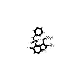 CC1=C(CC(=O)O)C2=C(S(=O)(=O)Cc3ccccc3)C(F)=CCC2=N1